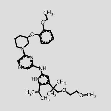 CCOc1ccccc1O[C@@H]1CCCN(c2cncc(Nc3cc(C(C)(C)COCCOC)c(C(C)C)[nH]3)n2)C1